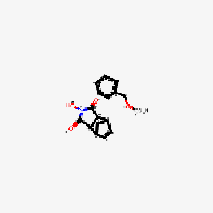 O=C(O)OCc1ccccc1.O=C1C2C3C=CC(C3)C2C(=O)N1O